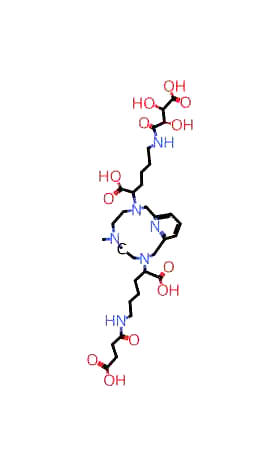 CN1CCN(C(CCCCNC(=O)CCC(=O)O)C(=O)O)Cc2cccc(n2)CN(C(CCCCNC(=O)[C@H](O)C(O)C(=O)O)C(=O)O)CC1